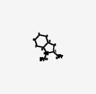 CC(C)C1CC2CCCCC2N1C(C)C